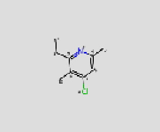 CCc1nc(C)cc(Cl)c1C